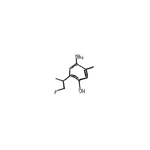 Cc1cc(O)c(C(C)CF)cc1C(C)(C)C